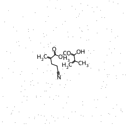 C=C(C)C(=O)O.C=C(CCC#N)C(=O)OC